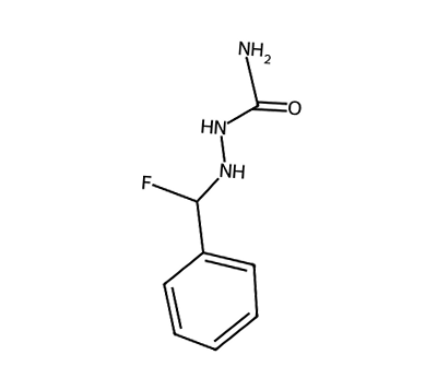 NC(=O)NNC(F)c1ccccc1